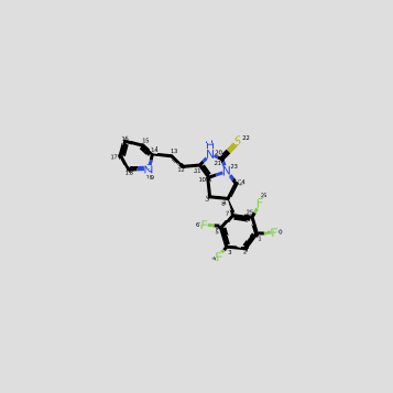 Fc1cc(F)c(F)c([C@H]2Cc3c(CCc4ccccn4)[nH]c(=S)n3C2)c1F